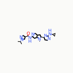 CC(C)n1cc(C(=O)Nc2cc3c(cn2)cc(-c2ccnc(NC4CC4)n2)n3C)cn1